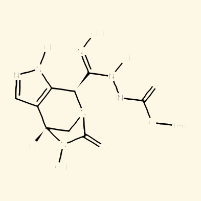 CN(NC(=O)OC(C)(C)C)/C(=N\O)[C@@H]1c2c(cnn2C)[C@@H]2CN1C(=O)N2O